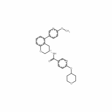 COc1ccc(-c2cccc3c2C[C@H](NC(=O)c2ccc(OC4CCOCC4)nc2)CO3)cn1